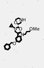 COCCCn1cc(CN(C(=O)[C@H]2CNCCO2)C2CC2)c2cc(OCc3ccccc3)ccc21